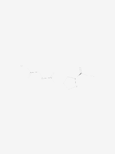 COC(=O)CNC(=O)O[C@H]1CN[C@H](C(=O)OC)C1